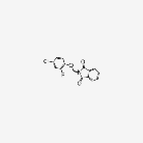 O=C1c2ccccc2C(=O)N1COc1ccc(Cl)cc1F